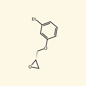 CCc1cc[c]c(OC[C@@H]2CO2)c1